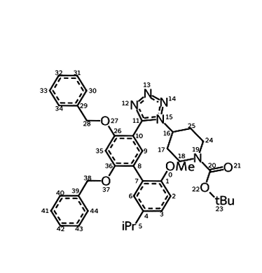 COc1ccc(C(C)C)cc1-c1cc(-c2nnnn2C2CCN(C(=O)OC(C)(C)C)CC2)c(OCc2ccccc2)cc1OCc1ccccc1